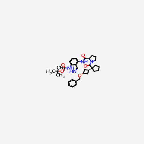 CC(C)(C)OC(=O)Nc1cccc(NC(=O)[C@H]2CCCN2C(=O)C2([C@H]3C[C@@H](OCc4ccccc4)C3)CCCC2)c1C=N